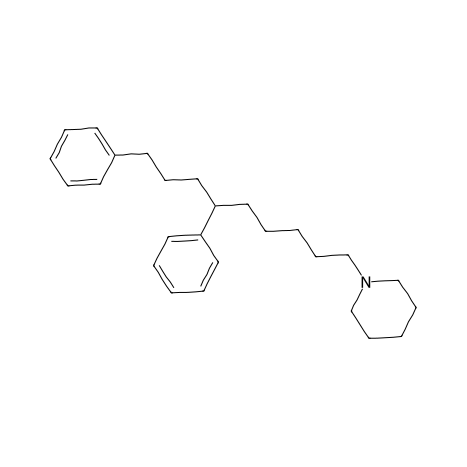 c1ccc(CCCC(CCCCCN2CCCCC2)c2ccccc2)cc1